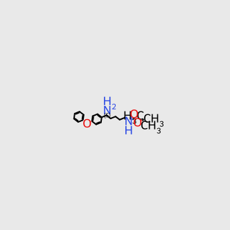 CC(C)(C)OC(=O)NCCCC[C@H](N)c1ccc(Oc2ccccc2)cc1